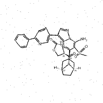 CS(=O)(=O)c1c([C@H]2C[C@H]3CC[C@@H](C2)N3C(=O)[C@H]2COC(=O)N2)nc2c(-c3ccc(-c4ccccc4)nc3)cnn2c1N